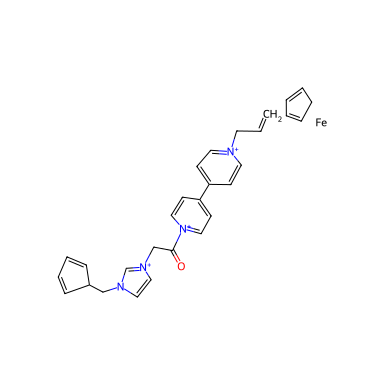 C1=CCC=C1.C=CC[n+]1ccc(-c2cc[n+](C(=O)C[n+]3ccn(CC4C=CC=C4)c3)cc2)cc1.[Fe]